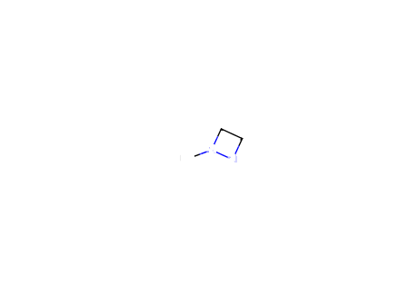 CN1CCN1